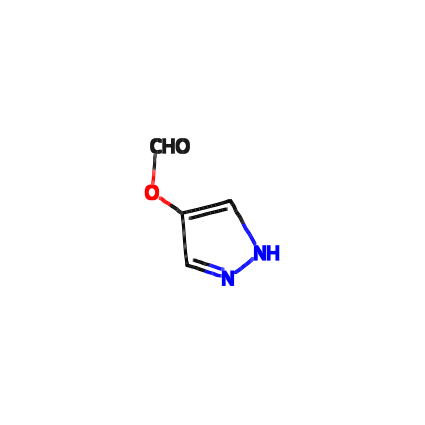 O=COc1cn[nH]c1